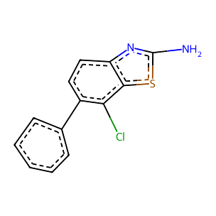 Nc1nc2ccc(-c3ccccc3)c(Cl)c2s1